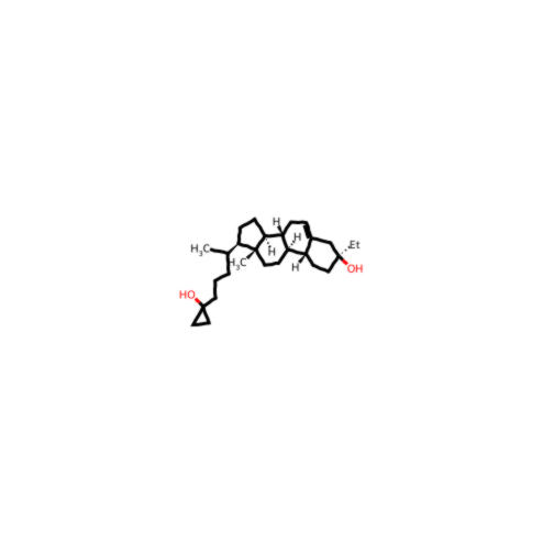 CC[C@]1(O)CC[C@H]2C(=CC[C@@H]3[C@@H]2CC[C@]2(C)[C@@H](C(C)CCCC4(O)CC4)CC[C@@H]32)C1